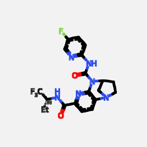 CC[C@@H](NC(=O)c1ccc2c(n1)N(C(=O)Nc1ccc(F)cn1)C1CCN2C1)C(F)(F)F